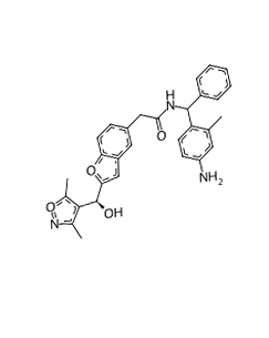 Cc1cc(N)ccc1C(NC(=O)Cc1ccc2oc([C@@H](O)c3c(C)noc3C)cc2c1)c1ccccc1